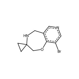 Brc1cncc2c1OCC1(CC1)NC2